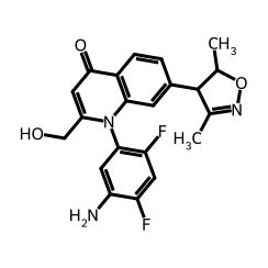 CC1=NOC(C)C1c1ccc2c(=O)cc(CO)n(-c3cc(N)c(F)cc3F)c2c1